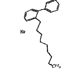 CCCCCCCCCc1ccccc1-c1ccccc1.[Na]